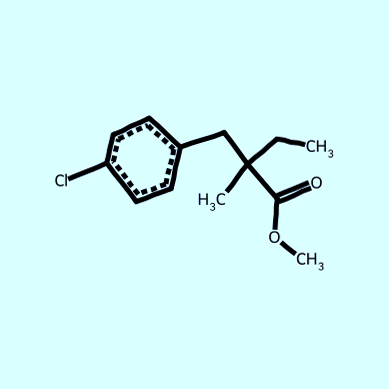 CCC(C)(Cc1ccc(Cl)cc1)C(=O)OC